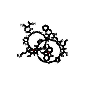 C/C=C/C(O)C(C)(C(=O)OC)C1C\C=C/C=C/C=C/c2nc(co2)C(=O)OC(C(C)(C(=O)OC)C(/C=C/C)OC(=O)CCC(=O)N[C@H](Cc2ccccc2)C(=O)N[C@H]2CSSC[C@@H](C(=O)N[C@@H](C(N)=O)C(C)O)NC(=O)[C@H](C(C)C)NC(=O)[C@H](CCCCN)NC(=O)[C@@H](Cc3c[nH]c4c3CCC=C4)NC(=O)[C@@H](Cc3ccc(O)cc3)NC2=O)C\C=C/C=C/C=C/c2nc(co2)C(=O)O1